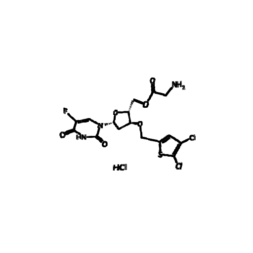 Cl.NCC(=O)OC[C@H]1O[C@@H](n2cc(F)c(=O)[nH]c2=O)C[C@@H]1OCc1cc(Cl)c(Cl)s1